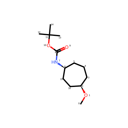 CO[C@@H]1CCC[C@H](NC(=O)OC(C)(C)C)CC1